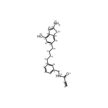 C#CC(=O)NCc1cccc(CCCCc2cc(O)c3nc(N)sc3c2)c1